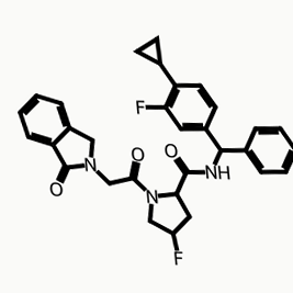 O=C(NC(c1ccccc1)c1ccc(C2CC2)c(F)c1)C1CC(F)CN1C(=O)CN1Cc2ccccc2C1=O